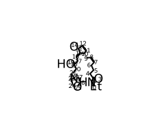 CCNC(=O)CCC/C=C\C[C@H]1C=CC(=O)/C1=C/C[C@@H](O)CCN1CCOCC1